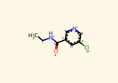 CCNC(=O)c1cncc(Cl)c1